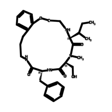 CCC(C)[C@@H]1NCCOc2ccccc2CCCNC(=O)[C@@H](Cc2ccccc2)NC(=O)[C@H](CO)N(C)C1=O